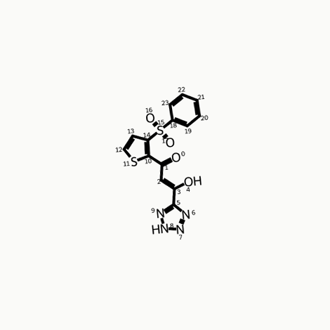 O=C(C=C(O)c1nn[nH]n1)c1sccc1S(=O)(=O)c1ccccc1